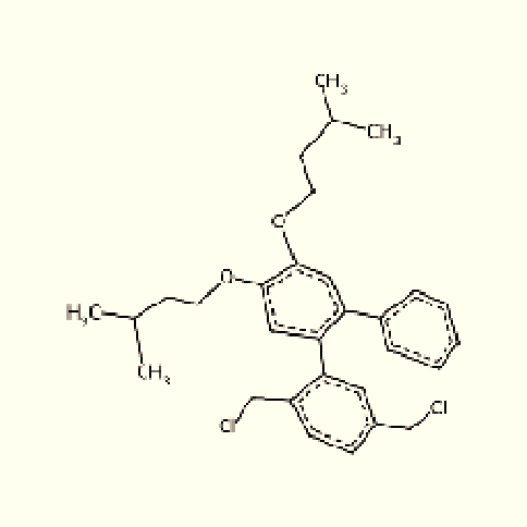 CC(C)CCOc1cc(-c2ccccc2)c(-c2cc(CCl)ccc2CCl)cc1OCCC(C)C